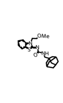 COCCn1/c(=N/C(=O)NCC23CC4CC(CC(C4)C2)C3)sc2ccccc21